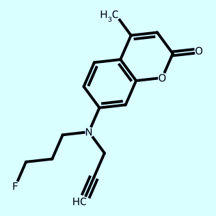 C#CCN(CCCF)c1ccc2c(C)cc(=O)oc2c1